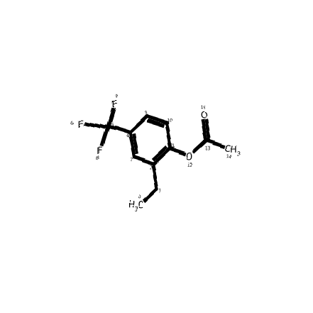 CCc1cc(C(F)(F)F)ccc1OC(C)=O